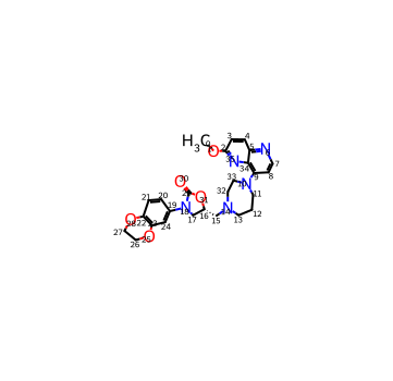 COc1ccc2nccc(N3CCCN(C[C@@H]4CN(c5ccc6c(c5)OCCO6)C(=O)O4)CC3)c2n1